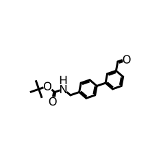 CC(C)(C)OC(=O)NCc1ccc(-c2cccc(C=O)c2)cc1